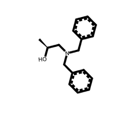 C[C@H](O)CN(Cc1ccccc1)Cc1ccccc1